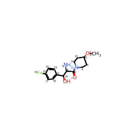 COC1CCN(C(=O)C(N)C(O)c2ccc(F)cc2)CC1